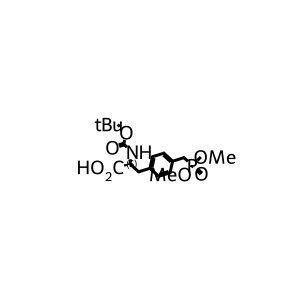 COP(=O)(Cc1ccc(C[C@H](NC(=O)OC(C)(C)C)C(=O)O)cc1)OC